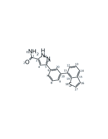 NC(=O)c1cc(-c2cccc(-c3cccc4ccsc34)c2)n[nH]1